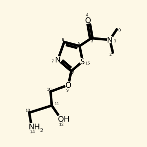 CN(C)C(=O)c1cnc(OCC(O)CN)s1